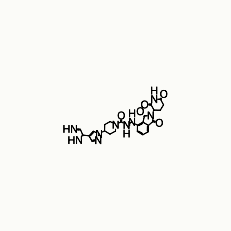 N=CC(=N)c1cnn(C2CCN(C(=O)NNc3cccc4c3C(=O)N(C3CCC(=O)NC3=O)C4=O)CC2)c1